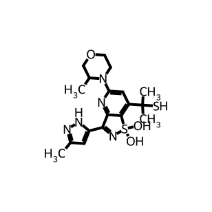 Cc1cc(C2=NS(O)(O)c3c(C(C)(C)S)cc(N4CCOCC4C)nc32)[nH]n1